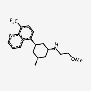 COCCN[C@H]1C[C@@H](C)C[C@@H](c2ccc(C(F)(F)F)c3ncccc23)C1